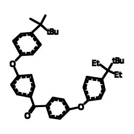 CCC(CC)(c1ccc(Oc2ccc(C(=O)c3ccc(Oc4ccc(C(C)(C)C(C)(C)C)cc4)cc3)cc2)cc1)C(C)(C)C